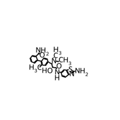 CCN(CC)C(c1ccc(-c2ccccc2C(N)=O)c(C)c1)C(O)C(=O)Nc1ccc2nc(N)sc2c1